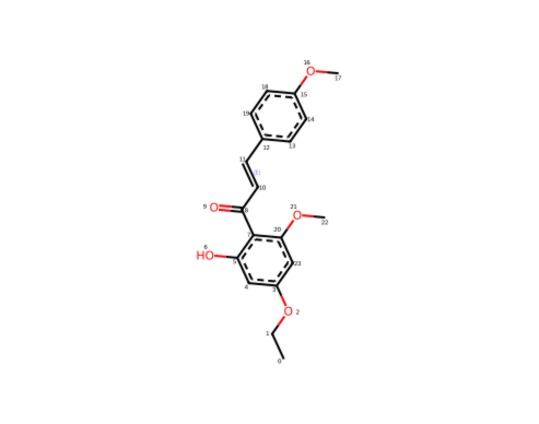 CCOc1cc(O)c(C(=O)/C=C/c2ccc(OC)cc2)c(OC)c1